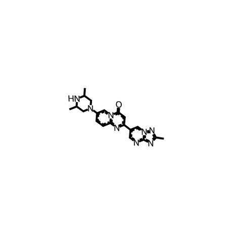 Cc1nc2ncc(-c3cc(=O)n4cc(N5CC(C)NC(C)C5)ccc4n3)cn2n1